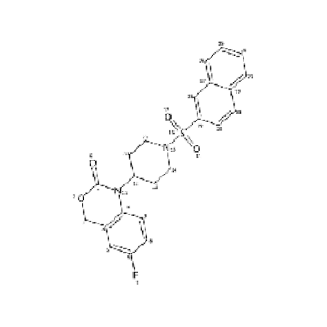 O=C1OCc2cc(F)ccc2N1C1CCN(S(=O)(=O)c2ccc3ccccc3c2)CC1